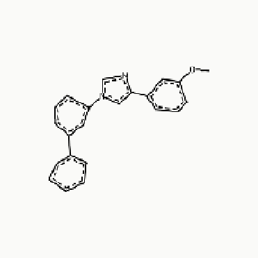 COc1cccc(-c2cn(-c3cccc(-c4ccccc4)c3)cn2)c1